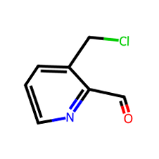 O=Cc1ncccc1CCl